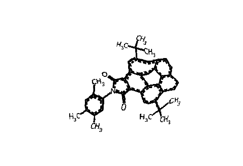 Cc1cc(C)c(-n2c(=O)c3c4cc(C(C)(C)C)c5ccc6ccc7c(C(C)(C)C)cc(c3c2=O)c2c7c6c5c42)cc1C